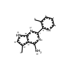 Cc1cccnc1-c1nc(N)c2c(C)c[nH]c2n1